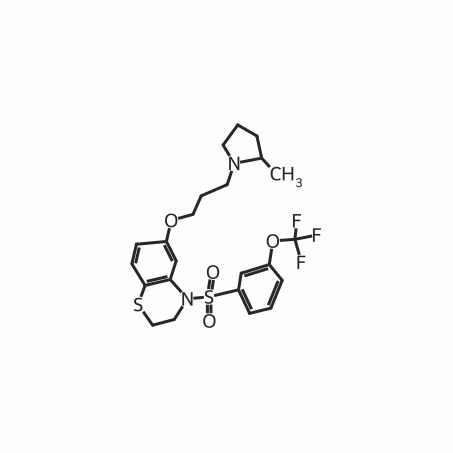 CC1CCCN1CCCOc1ccc2c(c1)N(S(=O)(=O)c1cccc(OC(F)(F)F)c1)CCS2